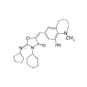 CCCc1cc(/C=C2/O/C(=N/C3CCCC3)N(C3CCCCC3)C2=O)cc2c1N(C)CCC2